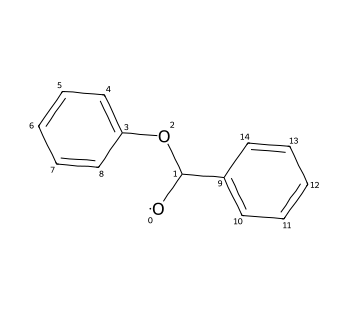 [O]C(Oc1ccccc1)c1ccccc1